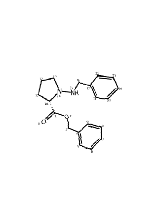 O=C(OCc1ccccc1)[C@@H]1CCCN1NCc1ccccc1